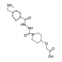 NCc1ccc(C(=O)NNC(=O)N2CCC(OCC(=O)O)CC2)cc1